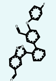 O=Cc1ccc2noc(-c3ccccc3-c3ccc(Oc4ccc(F)cc4)c(C=O)c3)c2c1